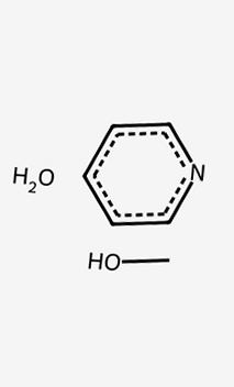 CO.O.c1ccncc1